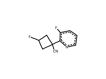 N#CC1(c2ncccc2F)CC(F)C1